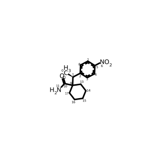 C[C@@H](c1ccc([N+](=O)[O-])cc1)C1(C(N)=O)CCCCC1